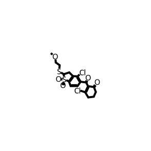 COCCSC1Cc2c(ccc(C(=O)C3=C(Cl)CCCC3=O)c2Cl)S1(=O)=O